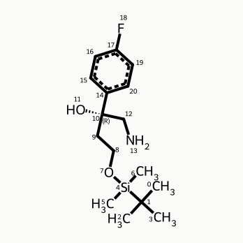 CC(C)(C)[Si](C)(C)OCC[C@](O)(CN)c1ccc(F)cc1